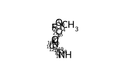 CC(=O)c1ccc(COc2cccc(C3CCNCC3)n2)cc1F